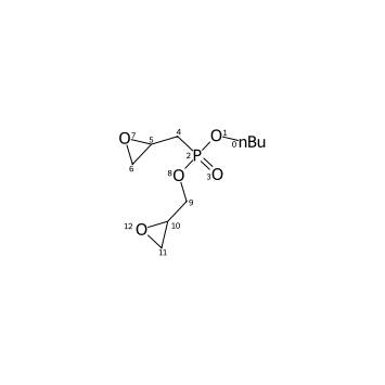 CCCCOP(=O)(CC1CO1)OCC1CO1